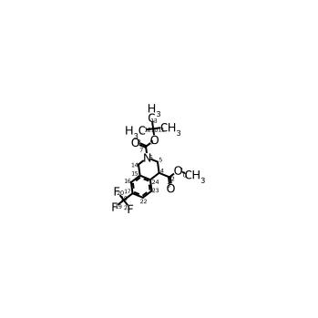 COC(=O)C1CN(C(=O)OC(C)(C)C)Cc2cc(C(F)(F)F)ccc21